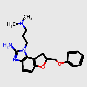 CN(C)CCCn1c(N)nc2ccc3c(c21)CC(COc1ccccc1)O3